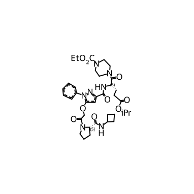 CCOC(=O)N1CCN(C(=O)[C@H](CCC(=O)OC(C)C)NC(=O)c2cc(OCC(=O)N3CCC[C@H]3C(=O)NC3CCC3)n(-c3ccccc3)n2)CC1